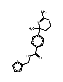 CC1(c2ccc(C(=O)NCc3cccs3)cc2)CCSC(N)=N1